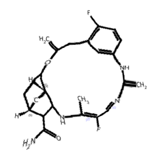 C=C1/N=C\C(F)=C(/C)NC2C(C(N)=O)[C@@H]3CC(OC(=C)Cc4cc(ccc4F)N1)[C@H]2C3